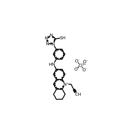 C#CC[n+]1c2c(cc3cc(Nc4cccc(-n5nnnc5S)c4)ccc31)CCCC2.[O-][Cl+3]([O-])([O-])[O-]